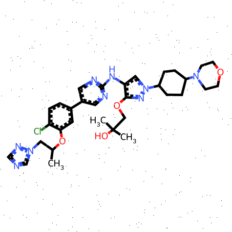 CC(Cn1cncn1)Oc1cc(-c2cnc(Nc3cn(C4CCC(N5CCOCC5)CC4)nc3OCC(C)(C)O)nc2)ccc1Cl